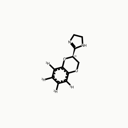 [2H]c1c([2H])c([2H])c2c(c1[2H])OC[C@H](C1=NCCN1)O2